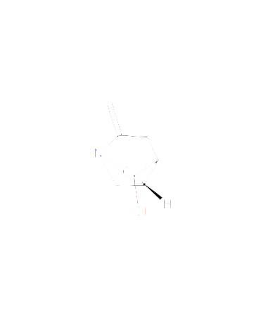 C=C1CC2CCN1C[C@H]2O